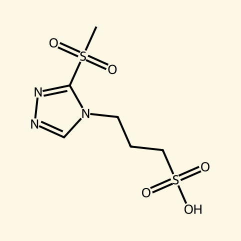 CS(=O)(=O)c1nncn1CCCS(=O)(=O)O